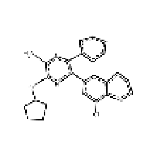 Nc1nc(-c2ccccc2)c(-c2cc(Cl)c3ncccc3c2)nc1OC1CCCC1